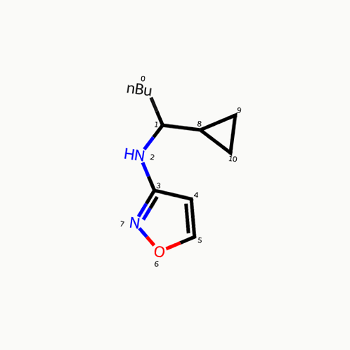 CCCCC(Nc1ccon1)C1CC1